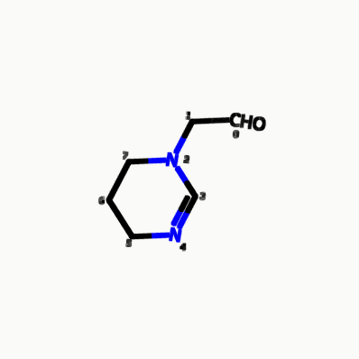 O=CCN1C=NCCC1